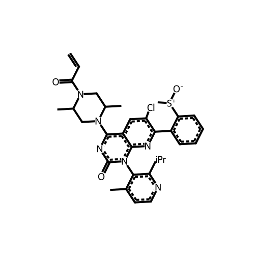 C=CC(=O)N1CC(C)N(c2nc(=O)n(-c3c(C)ccnc3C(C)C)c3nc(-c4ccccc4[S+](C)[O-])c(Cl)cc23)CC1C